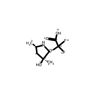 C[C@@H]1C[C@](C)(O)CN1.O=C(O)C(F)(F)F